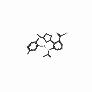 Bc1cc(C)ccc1N(C)C1CCC(c2c(OC(F)F)cccc2C(N)=O)C1